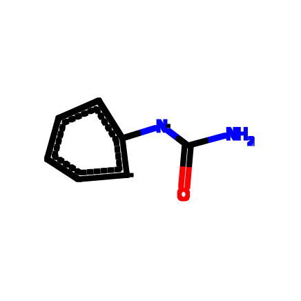 NC(=O)[N]c1[c]cccc1